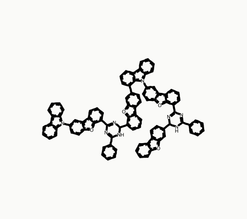 c1ccc(C2=NC(c3cccc4c3oc3ccc(-n5c6ccccc6c6cccc(-c7ccc8c(c7)oc7c(C9N=C(c%10cccc%11c%10oc%10ccc(-n%12c%13ccccc%13c%13ccccc%13%12)cc%10%11)N=C(c%10ccccc%10)N9)cccc78)c65)cc34)=NC(c3ccc4c(c3)oc3ccccc34)N2)cc1